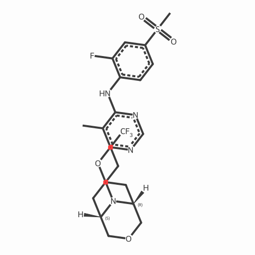 Cc1c(Nc2ccc(S(C)(=O)=O)cc2F)ncnc1OC1C[C@H]2COC[C@@H](C1)N2CCCC(F)(F)F